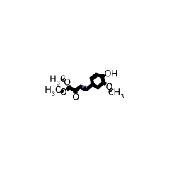 COC(OC)C(=O)/C=C/C1C=CC(O)C(OC)C1